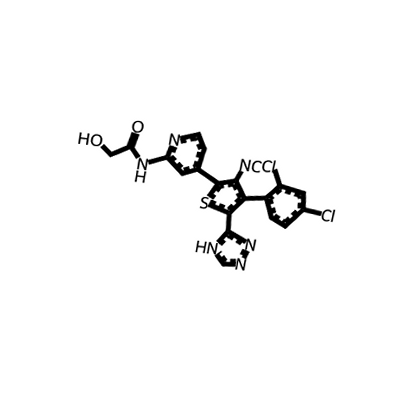 [C-]#[N+]c1c(-c2ccnc(NC(=O)CO)c2)sc(-c2nnc[nH]2)c1-c1ccc(Cl)cc1Cl